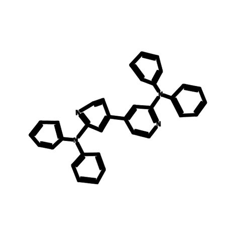 c1ccc(N(c2ccccc2)c2cc(-c3ccnc(N(c4ccccc4)c4ccccc4)c3)ccn2)cc1